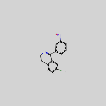 O=[N+]([O-])c1cccc(C2=NCCc3ccc(F)cc32)c1